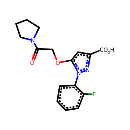 O=C(O)c1cc(OCC(=O)N2CCCC2)n(-c2ccccc2F)n1